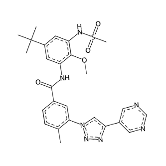 COc1c(NC(=O)c2ccc(C)c(-n3cc(-c4cncnc4)nn3)c2)cc(C(C)(C)C)cc1NS(C)(=O)=O